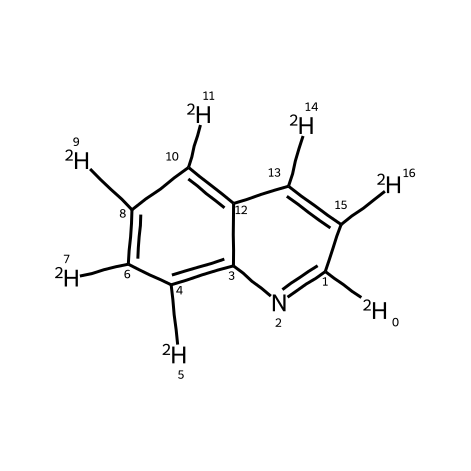 [2H]c1nc2c([2H])c([2H])c([2H])c([2H])c2c([2H])c1[2H]